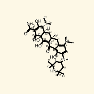 CN(C)c1cc(NC2CC(C)(C)NC(C)(C)C2)c(O)c2c1C[C@@H]1C[C@@H]3[C@@H](N(C)C)C(O)=C(C(N)=O)C(=O)[C@@]3(O)C(O)=C1C2=O